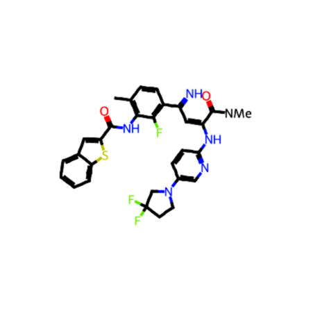 CNC(=O)/C(=C\C(=N)c1ccc(C)c(NC(=O)c2cc3ccccc3s2)c1F)Nc1ccc(N2CCC(F)(F)C2)cn1